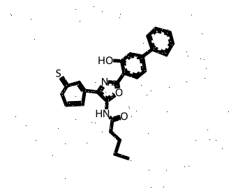 CCCCC(=O)Nc1oc(-c2ccc(-c3ccccc3)cc2O)nc1C1=CC(=S)CC=C1